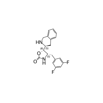 O=C1N[C@@H](Cc2cc(F)cc(F)c2)[C@@H]([C@@H]2Cc3ccccc3CN2)O1